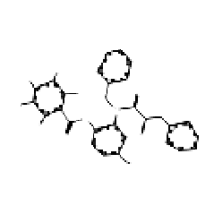 Cc1ccc(NC(=O)c2c(F)c(F)c(F)c(F)c2F)c(N(Cc2ccccc2)C(=O)C(O)Cc2ccccc2)c1